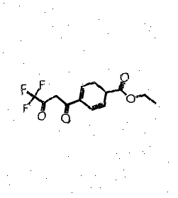 CCOC(=O)C1C=CC(C(=O)CC(=O)C(F)(F)F)=CC1